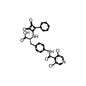 O=C(Nc1ccc(C[C@H](Nc2c(-c3ccccc3)c(=O)c2=O)C(=O)O)cc1)c1c(Cl)cncc1Cl